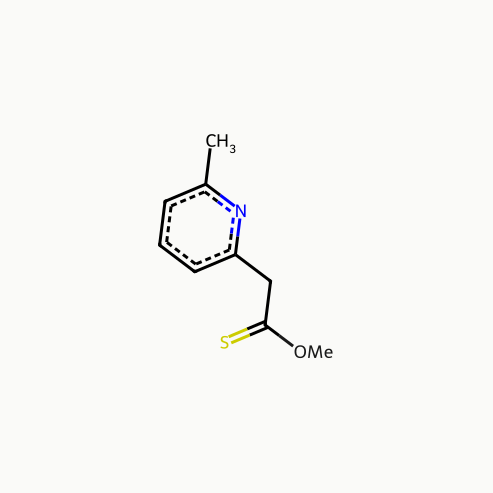 COC(=S)Cc1cccc(C)n1